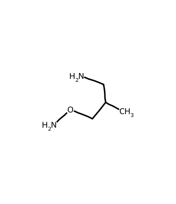 CC(CN)CON